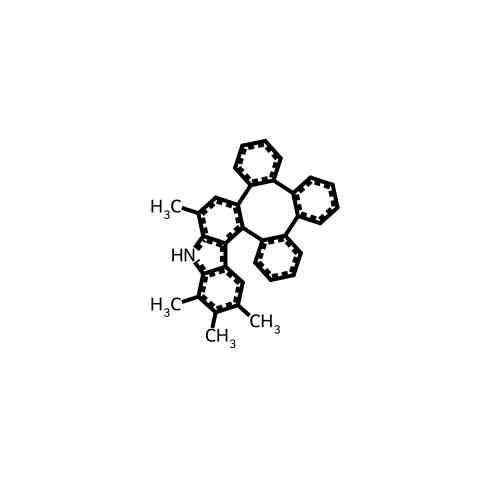 Cc1cc2c([nH]c3c(C)cc4c(c32)-c2ccccc2-c2ccccc2-c2ccccc2-4)c(C)c1C